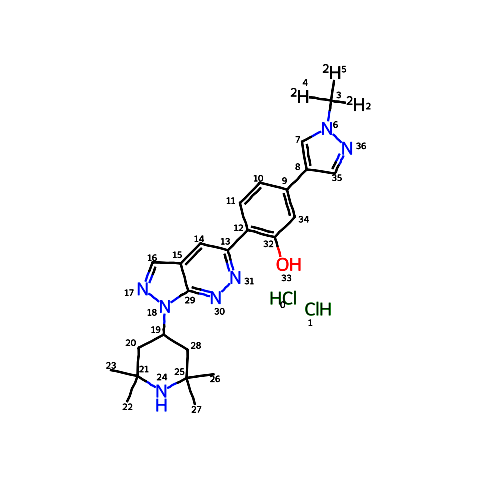 Cl.Cl.[2H]C([2H])([2H])n1cc(-c2ccc(-c3cc4cnn(C5CC(C)(C)NC(C)(C)C5)c4nn3)c(O)c2)cn1